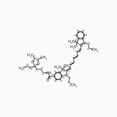 CCCN1/C(=C/C=C/C=C/C=C/C2=[N+](CCC)c3ccccc3C2(C)C)C(C)(C)c2cc(C(=O)NCCC[Si](OCC)(OCC)OCC)ccc21